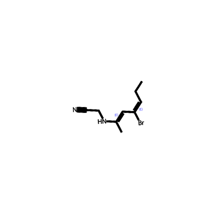 CC/C=C(Br)\C=C(/C)NCC#N